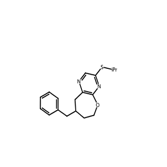 CC(C)Sc1cnc2c(n1)OCCC(Cc1ccccc1)C2